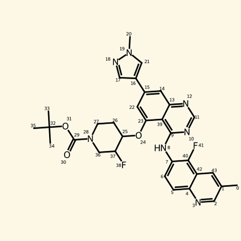 Cc1cnc2ccc(Nc3ncnc4cc(-c5cnn(C)c5)cc(OC5CCN(C(=O)OC(C)(C)C)CC5F)c34)c(F)c2c1